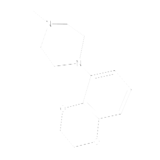 FN1CCN(c2cccc3c2OCCO3)CC1